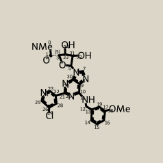 CNC(=O)[C@H]1OC(n2cnc3c(NCc4cccc(OC)c4)nc(-c4cncc(Cl)c4)nc32)C(O)C1O